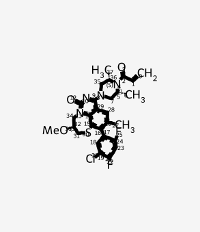 C=CC(=O)N1[C@H](C)CN(c2nc(=O)n3c4c(c(-c5cc(Cl)c(F)cc5F)c(C)cc24)SC[C@@H](OC)C3)C[C@@H]1C